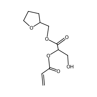 C=CC(=O)OC(CO)C(=O)OCC1CCCO1